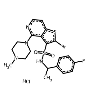 CC(NS(=O)(=O)c1c(Br)sc2ccnc(N3CCN(C)CC3)c12)c1ccc(F)cc1.Cl